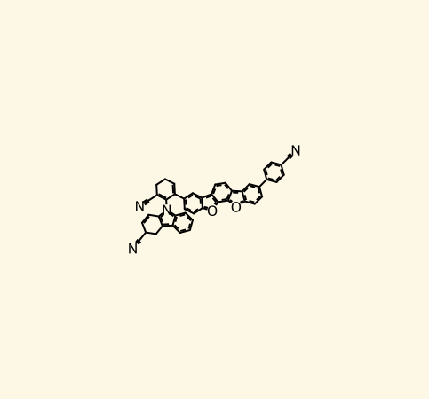 N#CC1=C(n2c3c(c4ccccc42)CC(C#N)C=C3)C(c2ccc3oc4c(ccc5c6cc(-c7ccc(C#N)cc7)ccc6oc54)c3c2)=CCC1